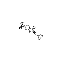 O=C(N/N=C/c1ccco1)c1ccc([N+](=O)[O-])cc1